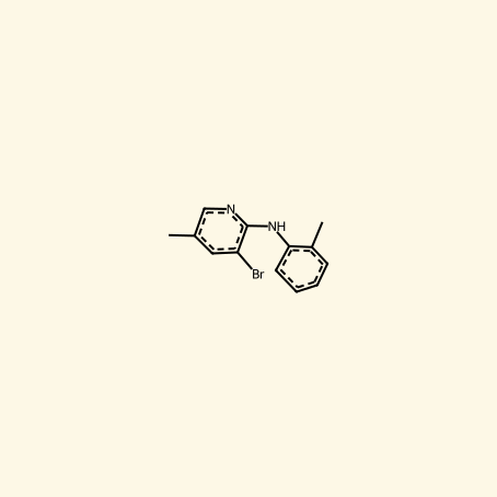 Cc1cnc(Nc2ccccc2C)c(Br)c1